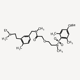 CCN(C)CCc1cc(CN(C)C(=O)COCCN(C)S(=O)(=O)c2c(C)cc(OC)cc2C)ccc1C